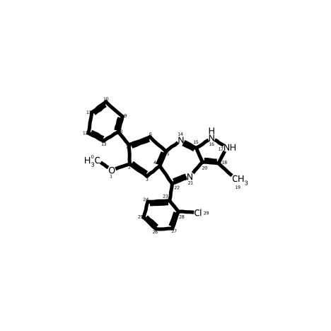 COc1cc2c(cc1-c1ccccc1)N=C1NNC(C)=C1N=C2c1ccccc1Cl